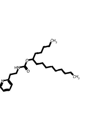 CCCCCCCCCC(CCCCC)OC(=O)NCCc1ccccn1